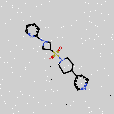 O=S(=O)(C1CN(c2ccccn2)C1)N1CCC(c2ccncc2)CC1